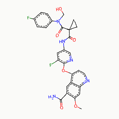 COc1cc2nccc(Oc3ncc(NC(=O)C4(C(=O)N(CO)c5ccc(F)cc5)CC4)cc3F)c2cc1C(N)=O